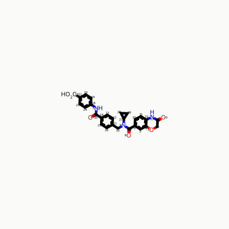 O=C1COc2cc(C(=O)N(Cc3ccc(C(=O)Nc4ccc(C(=O)O)cc4)cc3)C3CC3)ccc2N1